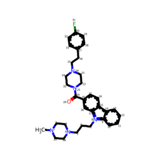 CN1CCN(CCCn2c3ccccc3c3ccc(C(=O)N4CCN(CCc5ccc(F)cc5)CC4)cc32)CC1